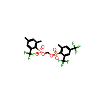 Cc1cc(C)c(S(=O)(=O)OCOS(=O)(=O)c2c(C)cc(C(F)(F)F)cc2C(F)(F)F)c(C(F)(F)F)c1